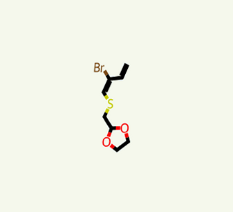 C=C/C(Br)=C\SCC1OCCO1